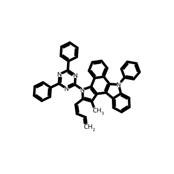 C=C/C=C\c1c(C)c2c3c4ccccc4n(-c4ccccc4)c3c3ccccc3c2n1-c1nc(-c2ccccc2)nc(-c2ccccc2)n1